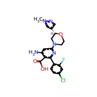 Cn1cc([C@H]2CN(c3cc(N)c(C(=O)O)c(-c4ccc(Cl)cc4F)n3)CCO2)cn1